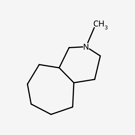 CN1CCC2CCCCCC2C1